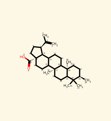 C=C(C)[C@@H]1CC[C@]2(C(=O)O)CCC3C(CCC4[C@@]3(C)CCC3C(C)(C)[C@H](C)CC[C@@]34C)C12